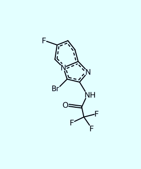 O=C(Nc1nc2ccc(F)cn2c1Br)C(F)(F)F